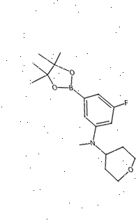 CN(c1cc(F)cc(B2OC(C)(C)C(C)(C)O2)c1)C1CCOCC1